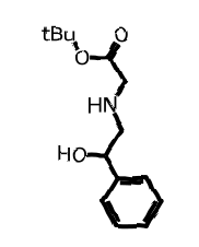 CC(C)(C)OC(=O)CNCC(O)c1ccccc1